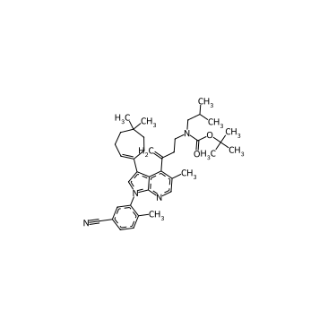 C=C(CCN(CC(C)C)C(=O)OC(C)(C)C)c1c(C)cnc2c1c(C1=CCCC(C)(C)CC1)cn2-c1cc(C#N)ccc1C